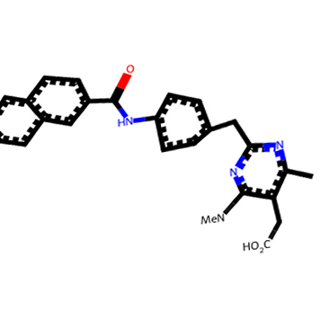 CNc1nc(Cc2ccc(NC(=O)c3ccc4ccccc4c3)cc2)nc(C)c1CC(=O)O